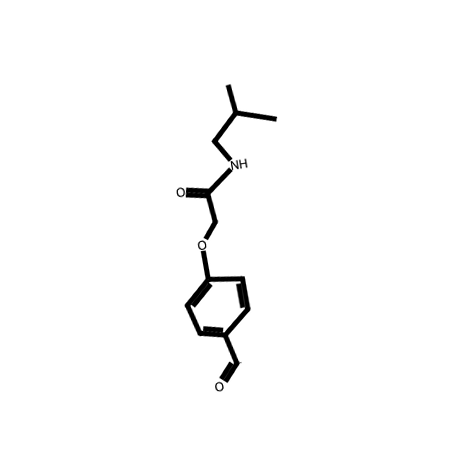 CC(C)CNC(=O)COc1ccc([C]=O)cc1